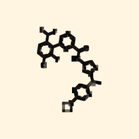 C[C@@H](c1cnc(N2CCC2)cn1)n1cc(NC(=O)c2cncc(-c3c(C(F)F)ccc(Cl)c3F)n2)cn1